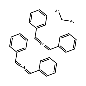 CC(=O)CC(C)=O.[CH](=[Pd]=[CH]c1ccccc1)c1ccccc1.[CH](=[Pd]=[CH]c1ccccc1)c1ccccc1